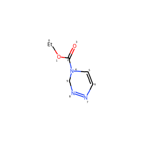 CCOC(=O)N1C=CN=NC1